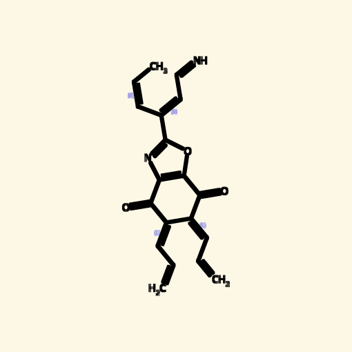 C=C/C=C1/C(=O)c2nc(C(/C=C\C)=C/C=N)oc2C(=O)/C1=C/C=C